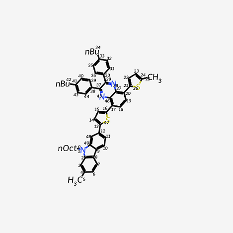 CCCCCCCCn1c2cc(C)ccc2c2ccc(-c3ccc(-c4ccc(-c5ccc(C)s5)c5nc(-c6ccc(CCCC)cc6)c(-c6ccc(CCCC)cc6)nc45)s3)cc21